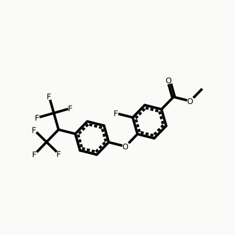 COC(=O)c1ccc(Oc2ccc(C(C(F)(F)F)C(F)(F)F)cc2)c(F)c1